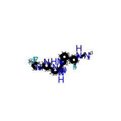 CN(C)CCNc1cc(F)cc(-c2cccc3[nH]c(-c4n[nH]c5ccc(-c6cncc(CN7CCC(F)(F)C7)c6)nc45)cc23)c1